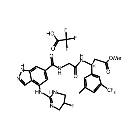 COC(=O)C[C@H](NC(=O)CNC(=O)c1cc(NC2=NCC(F)CN2)c2cn[nH]c2c1)c1cc(C)cc(C(F)(F)F)c1.O=C(O)C(F)(F)F